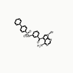 CC(C)n1cc(C(=O)c2cccc(NS(=O)(=O)c3ccc(-c4ccccc4)cc3)c2)c2c(N)ncnc21